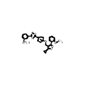 O=C(O)c1cccc(-c2noc(C34CCC(OCc5c(-c6ccccc6OC(F)(F)F)noc5C5CC5)(CC3)CC4)n2)c1